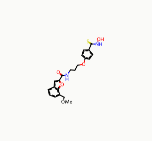 COCc1cccc2cc(C(=O)NCCCOc3ccc(C(=S)NO)cc3)oc12